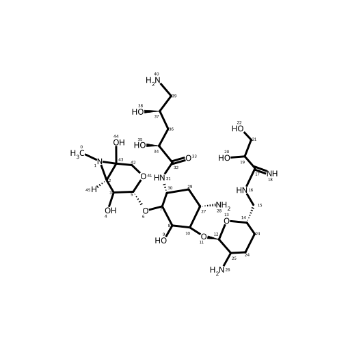 CN1[C@@H]2C(O)[C@@H](OC3C(O)C(O[C@H]4O[C@H](CNC(=N)C(O)CO)CCC4N)[C@@H](N)C[C@H]3NC(=O)[C@@H](O)C[C@@H](O)CN)OCC21O